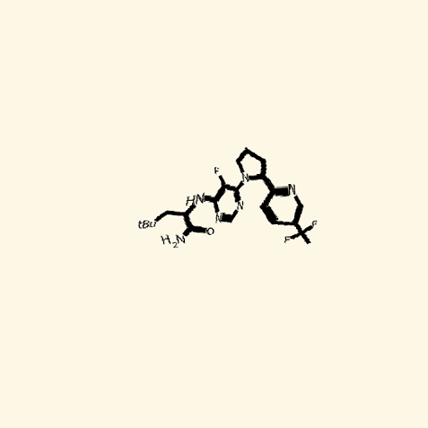 CC(C)(C)CC(Nc1ncnc(N2CCCC2c2ccc(C(C)(F)F)cn2)c1F)C(N)=O